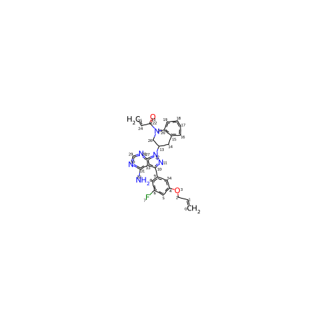 C=CCOc1cc(F)cc(-c2nn(C3Cc4ccccc4N(C(=O)C=C)C3)c3ncnc(N)c23)c1